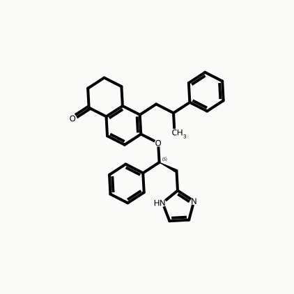 CC(Cc1c(O[C@@H](Cc2ncc[nH]2)c2ccccc2)ccc2c1CCCC2=O)c1ccccc1